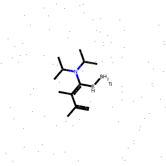 BBC(=C(C)C(=C)C)N(C(C)C)C(C)C.[Ti]